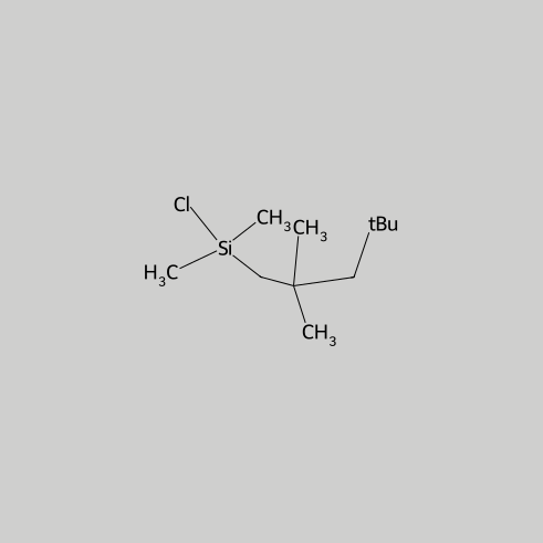 CC(C)(C)CC(C)(C)C[Si](C)(C)Cl